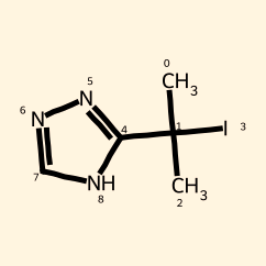 CC(C)(I)c1nnc[nH]1